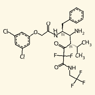 CC(C)[C@H](C(=O)C(F)(F)C(=O)NCC(F)(F)F)C(N)[C@H](Cc1ccccc1)NC(=O)COc1cc(Cl)cc(Cl)c1